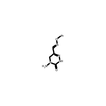 CC(C)O/N=C/C1=NNC(=O)N(N)C1